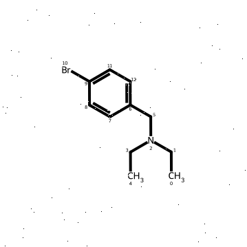 CCN(CC)Cc1ccc(Br)cc1